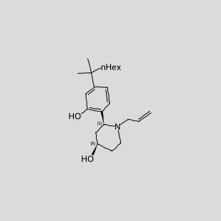 C=CCN1CC[C@@H](O)C[C@H]1c1ccc(C(C)(C)CCCCCC)cc1O